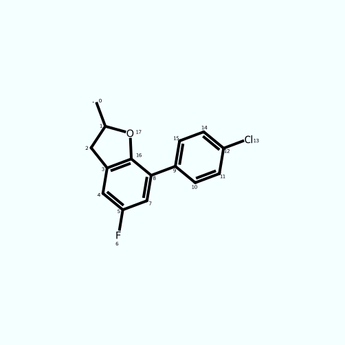 [CH2]C1Cc2cc(F)cc(-c3ccc(Cl)cc3)c2O1